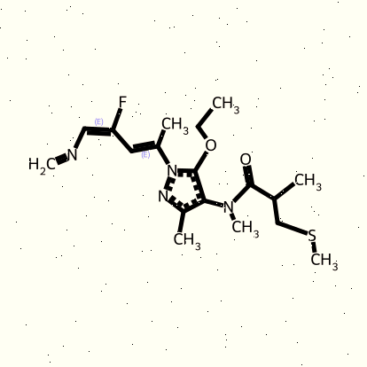 C=N/C=C(F)\C=C(/C)n1nc(C)c(N(C)C(=O)C(C)CSC)c1OCC